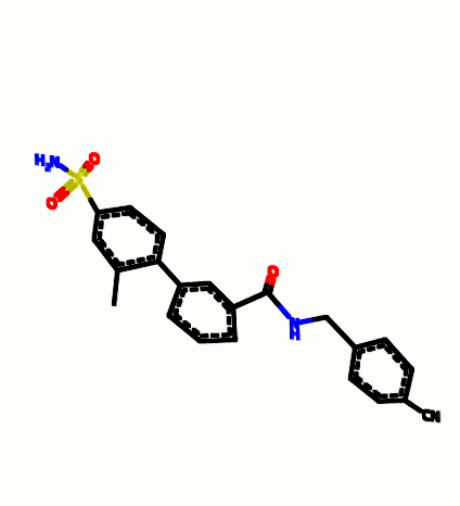 Cc1cc(S(N)(=O)=O)ccc1-c1cccc(C(=O)NCc2ccc(C#N)cc2)c1